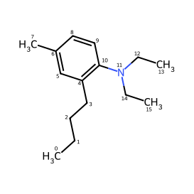 CCCCc1cc(C)ccc1N(CC)CC